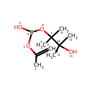 C=C(C)OB(O)OC(C)(C)C(C)(C)O